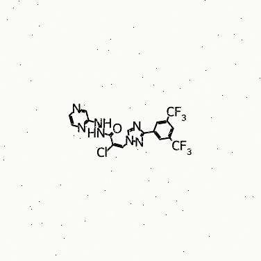 O=C(NNc1cnccn1)/C(Cl)=C\n1cnc(-c2cc(C(F)(F)F)cc(C(F)(F)F)c2)n1